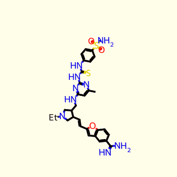 CCN1CC(C=Cc2cc3cc(C(=N)N)ccc3o2)C(CNc2cc(C)nc(NC(=S)Nc3ccc(S(N)(=O)=O)cc3)n2)C1